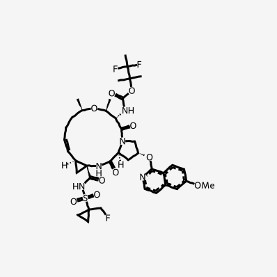 COc1ccc2c(O[C@@H]3C[C@H]4C(=O)N[C@]5(C(=O)NS(=O)(=O)C6(CF)CC6)C[C@H]5/C=C\CC[C@@H](C)O[C@@H](C)[C@H](NC(=O)OC(C)(C)C(C)(F)F)C(=O)N4C3)nccc2c1